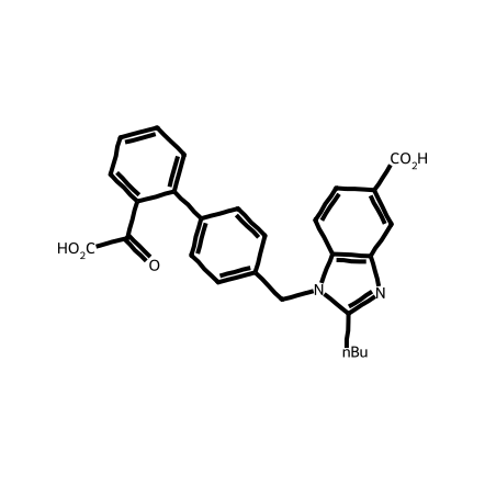 CCCCc1nc2cc(C(=O)O)ccc2n1Cc1ccc(-c2ccccc2C(=O)C(=O)O)cc1